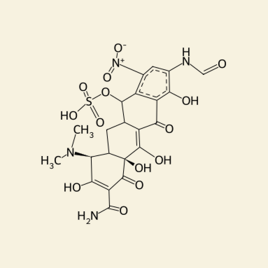 CN(C)[C@@H]1C(O)=C(C(N)=O)C(=O)[C@@]2(O)C(O)=C3C(=O)c4c(O)c(NC=O)cc([N+](=O)[O-])c4C(OS(=O)(=O)O)C3CC12